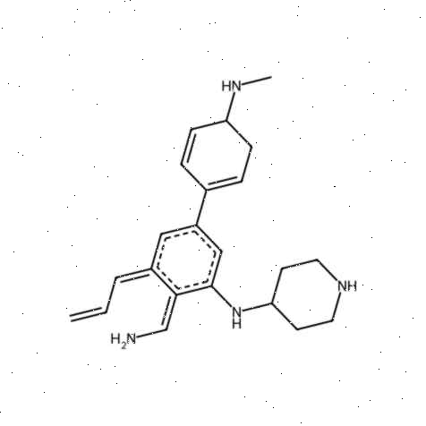 C=C/C=c1/cc(C2=CCC(NC)C=C2)cc(NC2CCNCC2)/c1=C/N